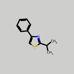 CC(C)c1nc(-c2cc[c]cc2)cs1